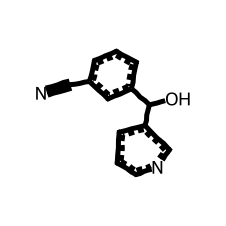 N#Cc1cccc(C(O)c2cccnc2)c1